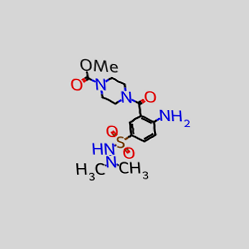 COC(=O)N1CCN(C(=O)c2cc(S(=O)(=O)NN(C)C)ccc2N)CC1